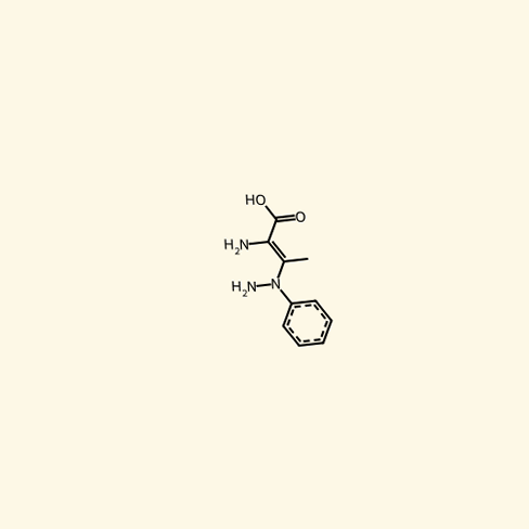 C/C(=C(/N)C(=O)O)N(N)c1ccccc1